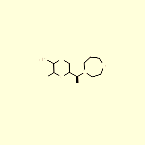 CCCC1OCC(C(=O)N2CCCOCC2)OC1CC